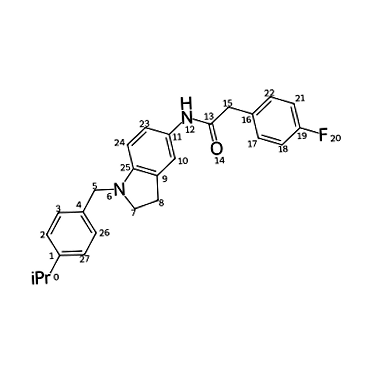 CC(C)c1ccc(CN2CCc3cc(NC(=O)Cc4ccc(F)cc4)ccc32)cc1